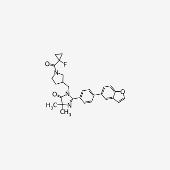 CC1(C)N=C(c2ccc(-c3ccc4occc4c3)cc2)N(CC2CCN(C(=O)C3(F)CC3)C2)C1=O